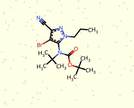 CCCn1nc(C#N)c(Br)c1N(C(=O)OC(C)(C)C)C(C)(C)C